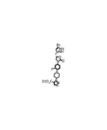 CCOC(=O)c1cnnn1C1CCN(c2ccc(N3C[C@H](CN4C=C(C(C)=O)NN4)OC3=O)cc2F)CC1